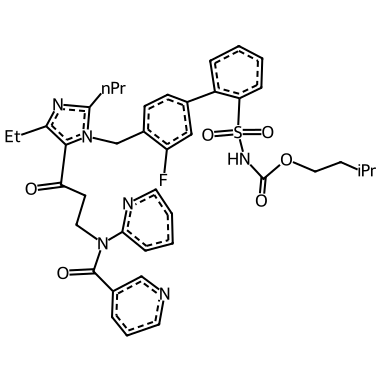 CCCc1nc(CC)c(C(=O)CCN(C(=O)c2cccnc2)c2ccccn2)n1Cc1ccc(-c2ccccc2S(=O)(=O)NC(=O)OCCC(C)C)cc1F